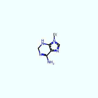 CCn1cnc2c1NCN=C2N